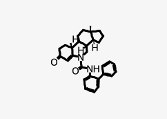 C[C@@]12CCC[C@H]1[C@@H]1CN(C(=O)Nc3ccccc3-c3ccccc3)C3=CC(=O)CC[C@]3(C)[C@H]1CC2